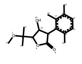 COC(C)(C)C1OC(=O)C(c2c(C)ccc(C)c2C)C1O